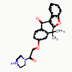 CC1(C)c2cc(OCC(=O)N3CCNCC3)ccc2C(=O)c2c1oc1ccccc21